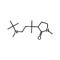 CN1CCC(C(C)(C)CCN(C)C(C)(C)C)C1=O